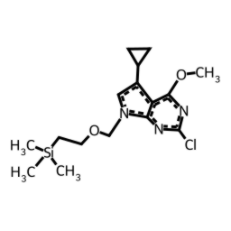 COc1nc(Cl)nc2c1c(C1CC1)cn2COCC[Si](C)(C)C